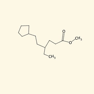 CCC(CCC(=O)OC)CCC1CCCC1